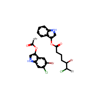 CCC(Cl)C(Br)CCCC(=O)Oc1c[nH]c2ccccc12.CCCC(=O)Oc1c[nH]c2cc(Cl)c(Br)cc12